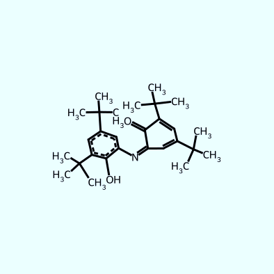 CC(C)(C)C1=CC(=Nc2cc(C(C)(C)C)cc(C(C)(C)C)c2O)C(=O)C(C(C)(C)C)=C1